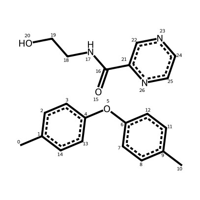 Cc1ccc(Oc2ccc(C)cc2)cc1.O=C(NCCO)c1cnccn1